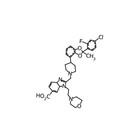 CC1(c2ccc(Cl)cc2F)Oc2cccc(C3CCN(CC4=NC5C=CC(C(=O)O)=CC5N4CCN4CCOCC4)CC3)c2O1